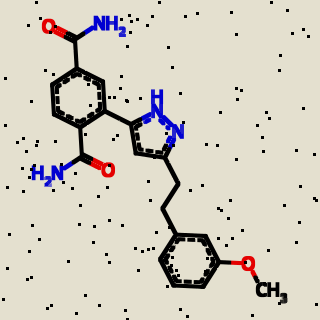 COc1cccc(CCc2cc(-c3cc(C(N)=O)ccc3C(N)=O)[nH]n2)c1